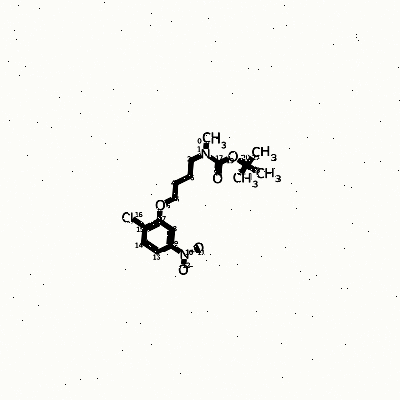 CN(CCCCOc1cc([N+](=O)[O-])ccc1Cl)C(=O)OC(C)(C)C